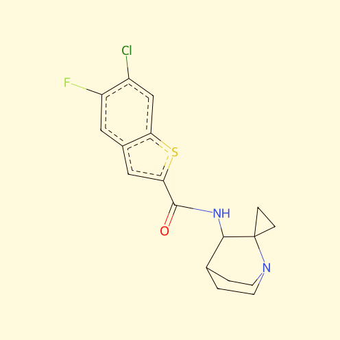 O=C(NC1C2CCN(CC2)C12CC2)c1cc2cc(F)c(Cl)cc2s1